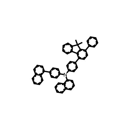 CC1(C)c2ccccc2-c2c(-c3ccc(N(c4ccc(-c5cccc6ccccc56)cc4)c4cccc5ccccc45)cc3)ccc(-c3ccccc3)c21